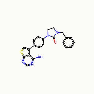 Nc1ncnc2scc(-c3ccc(N4CCN(Cc5ccccc5)C4=O)cc3)c12